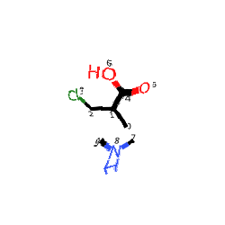 CC(CCl)C(=O)O.CNC